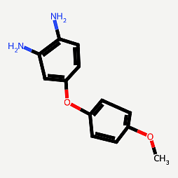 COc1ccc(Oc2ccc(N)c(N)c2)cc1